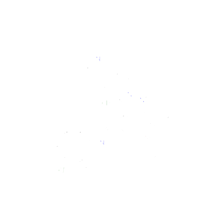 CCOC(=O)c1nn(Cc2cncc(F)c2)c(Cl)c1CCNc1cccc(Cl)c1F